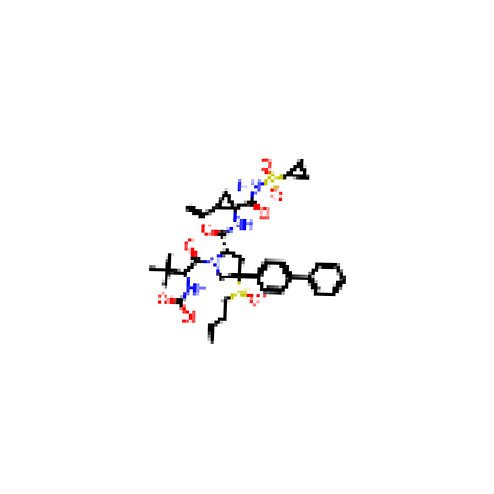 C=CC1CC1(NC(=O)[C@@H]1C[C@](c2ccc(-c3ccccc3)cc2)([S+]([O-])CCCC)CN1C(=O)[C@@H](NC(=O)O)C(C)(C)C)C(=O)NS(=O)(=O)C1CC1